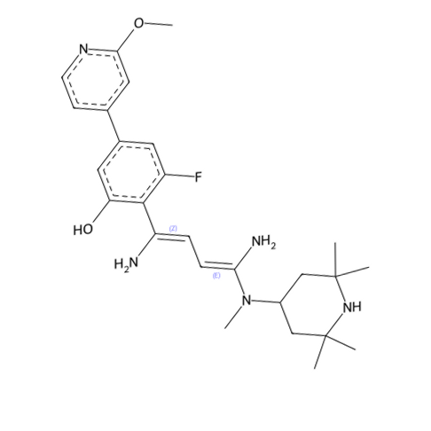 COc1cc(-c2cc(O)c(/C(N)=C/C=C(\N)N(C)C3CC(C)(C)NC(C)(C)C3)c(F)c2)ccn1